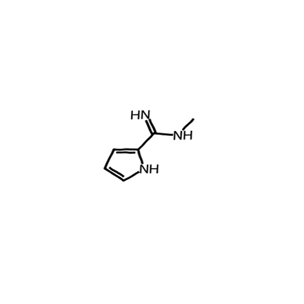 CNC(=N)c1ccc[nH]1